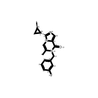 Cc1cn2c([C@@H]3C[C@H]3C)ncc2c(=O)n1Cc1cccc(F)c1